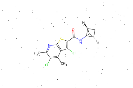 Cc1nc2sc(C(=O)NC3[C@H]4C[C@H]3C4)c(Cl)c2c(C)c1Cl